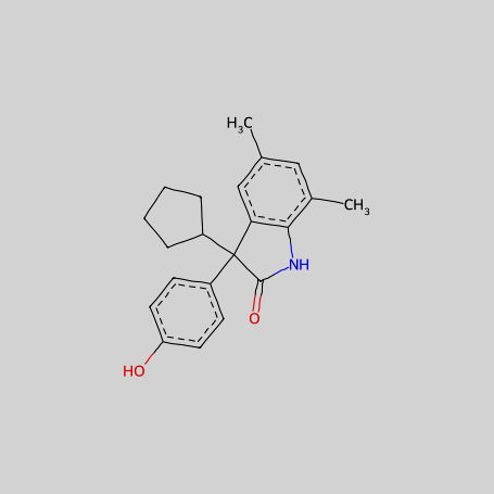 Cc1cc(C)c2c(c1)C(c1ccc(O)cc1)(C1CCCC1)C(=O)N2